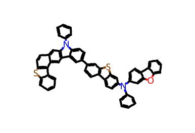 c1ccc(N(c2ccc3c(c2)oc2ccccc23)c2ccc3c(c2)sc2cc(-c4ccc5c(c4)c4cc6c(ccc7sc8ccccc8c76)cc4n5-c4ccccc4)ccc23)cc1